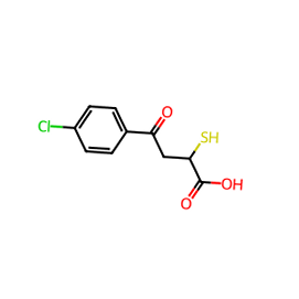 O=C(CC(S)C(=O)O)c1ccc(Cl)cc1